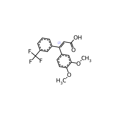 COc1ccc(/C(=C\C(=O)O)c2cccc(C(F)(F)F)c2)cc1OC